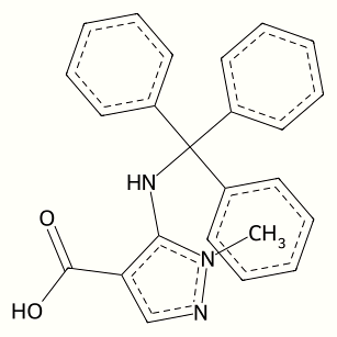 Cn1ncc(C(=O)O)c1NC(c1ccccc1)(c1ccccc1)c1ccccc1